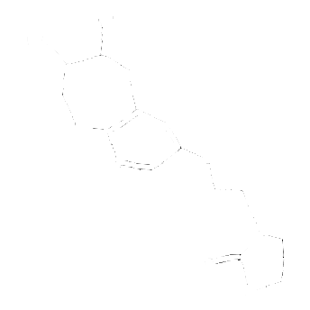 CC1CCc2ncc(OCCN3CCOC3=O)cc2CC1C